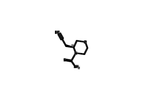 C#CC[C@H]1COCCN1C(N)=S